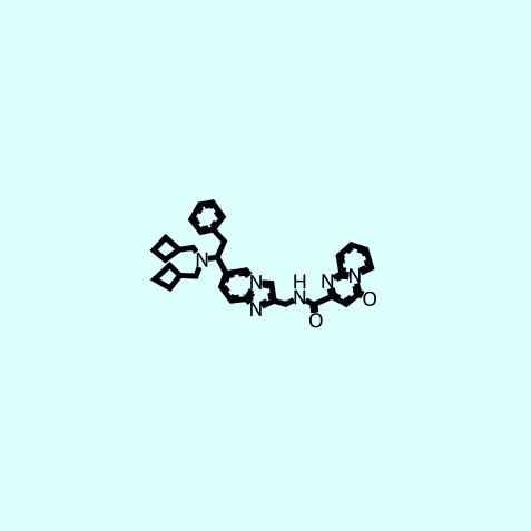 O=C(NCc1cn2cc(C(Cc3ccccc3)N(CC3CCC3)CC3CCC3)ccc2n1)c1cc(=O)n2ccccc2n1